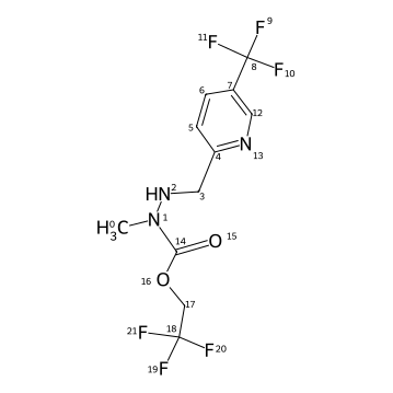 CN(NCc1ccc(C(F)(F)F)cn1)C(=O)OCC(F)(F)F